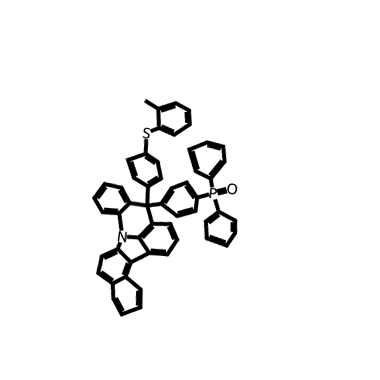 Cc1ccccc1Sc1ccc(C2(c3ccc(P(=O)(c4ccccc4)c4ccccc4)cc3)c3ccccc3-n3c4ccc5ccccc5c4c4cccc2c43)cc1